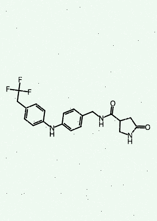 O=C1CC(C(=O)NCc2ccc(Nc3ccc(CC(F)(F)F)cc3)cc2)CN1